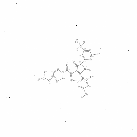 COc1cc(F)c(-c2c(NC(=O)c3ccc(OC(F)F)cc3)c(=O)n(-c3cc(F)cc(C(C)(C)O)c3)n2C)c(F)c1